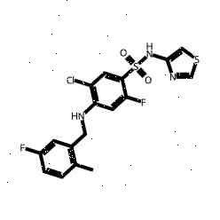 Cc1ccc(F)cc1CNc1cc(F)c(S(=O)(=O)Nc2cscn2)cc1Cl